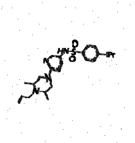 C=CCN1C(C)CN(c2ccc(NS(=O)(=O)c3ccc(C(C)C)cc3)cn2)CC1C